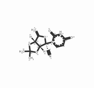 C=C1O[C@@](C#N)(n2ccc(=O)[nH]c2=O)[C@@H]2OC(C)(C)O[C@H]12